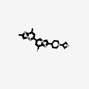 Cc1cn2nc(-c3cc(F)c4nc(C5CCN(C6COC6)CC5)cn4c3)cc(C)c2n1